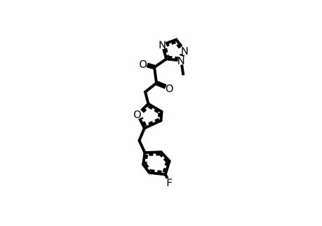 Cn1ncnc1C(=O)C(=O)Cc1ccc(Cc2ccc(F)cc2)o1